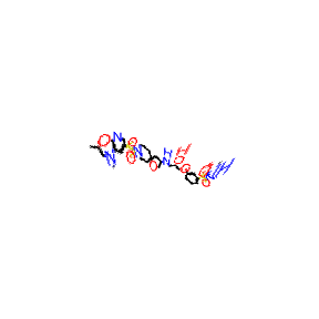 CNS(=O)(=O)c1cccc(OCC(O)CNC2COC3(CCN(S(=O)(=O)c4cnc5c(c4)N(C)CC(C)O5)CC3)C2)c1